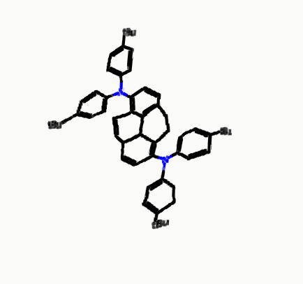 CC(C)(C)C1=CC=C(N(C2=C3CCc4ccc(N(c5ccc(C(C)(C)C)cc5)c5ccc(C(C)(C)C)cc5)c5c4C3C(C=C2)C=C5)c2ccc(C(C)(C)C)cc2)CC1